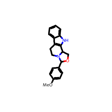 COc1ccc(C2OCC3c4[nH]c5ccccc5c4CCN32)cc1